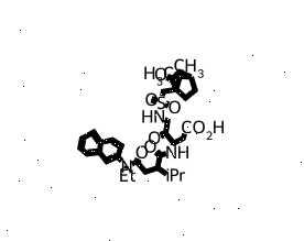 CCN(C(=O)CC(C(=O)NC(CC(=O)O)C(=O)CNS(=O)(=O)CC12CCC(CC1=O)C2(C)C)C(C)C)c1ccc2ccccc2c1